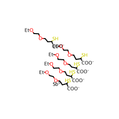 CCOCCOCCC(S)C(=O)[O-].CCOCCOCCC(S)C(=O)[O-].CCOCCOCCC(S)C(=O)[O-].CCOCCOCCC(S)C(=O)[O-].CCOCCOCCC(S)C(=O)[O-].[Sb+5]